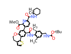 COC(=O)c1nc(C(=O)NC2(C)CCCCC2)ccc1-c1cc2c(cc1C(=O)Nc1c(C)cc(CNC(=O)OC(C)(C)C)cc1C)-c1sccc1CCO2